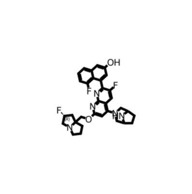 Oc1cc(-c2nc3nc(OCC45CCCN4C[C@H](F)C5)cc(N4CC5CCC(C4)N5)c3cc2F)c2c(F)cccc2c1